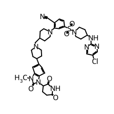 Cn1c(=O)n(C2CCC(=O)NC2=O)c2ccc(C3CCN(CC4CCN(c5cc(S(=O)(=O)N6CCC(Nc7ncc(Cl)cn7)CC6)ccc5C#N)CC4)CC3)cc21